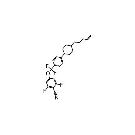 C=CCCCC1CCC(c2ccc(C(F)(F)Oc3cc(F)c(C#N)c(F)c3)cc2)CC1